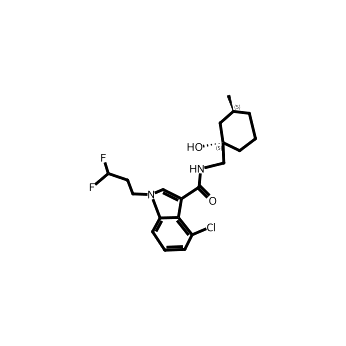 C[C@H]1CCC[C@@](O)(CNC(=O)c2cn(CCC(F)F)c3cccc(Cl)c23)C1